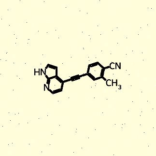 Cc1cc(C#Cc2ccnc3[nH]ccc23)ccc1C#N